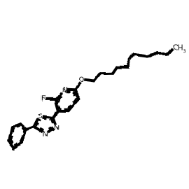 CCCCCCCCCCOc1ccc(-c2nnc(-c3ccccc3)s2)c(F)n1